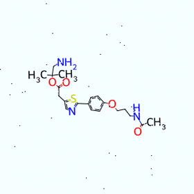 CC(=O)NCCCOc1ccc(-c2ncc(CC(=O)OC(C)(C)CN)s2)cc1